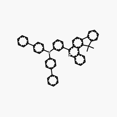 CC1(C)c2ccccc2-c2ccc3c(-c4cccc(N(c5ccc(-c6ccccc6)cc5)c5ccc(-c6ccccc6)cc5)c4)nc4ccccc4c3c21